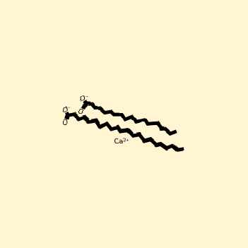 CCCCCCCCCCCCCCCCCC(=O)[O-].CCCCCCCCCCCCCCCCCCCCCC(=O)[O-].[Ca+2]